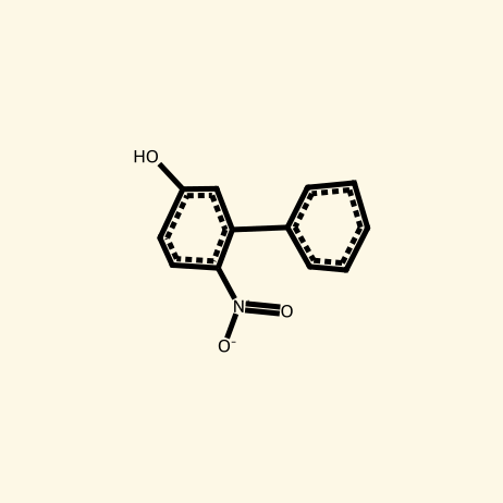 O=[N+]([O-])c1ccc(O)cc1-c1ccccc1